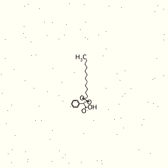 CCCCCCCCCCCCS(=O)(=O)C(C(=O)O)c1ccccc1